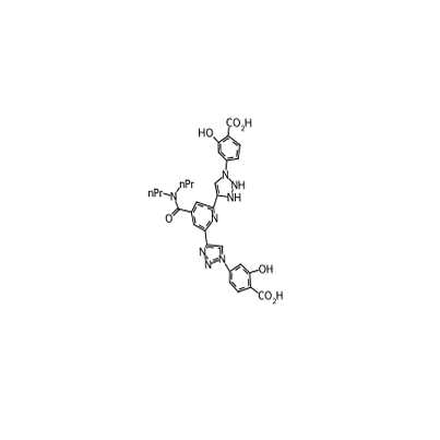 CCCN(CCC)C(=O)c1cc(C2=CN(c3ccc(C(=O)O)c(O)c3)NN2)nc(-c2cn(-c3ccc(C(=O)O)c(O)c3)nn2)c1